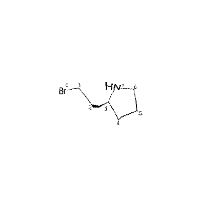 BrCC[C@@H]1CCCN1